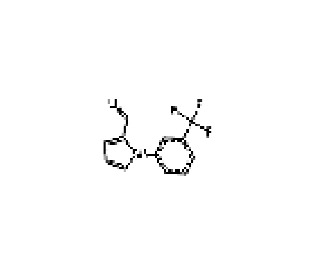 O=CC1=CC=C[SH]1c1cccc(C(F)(F)F)c1